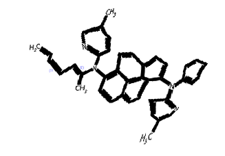 C=C/C=C\C=C(/C)N(c1ccc(C)cn1)c1ccc2ccc3c(N(c4ccccc4)c4ccc(C)cn4)ccc4ccc1c2c43